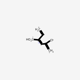 C=C/C(=C\C(=C)Cl)C(=O)O